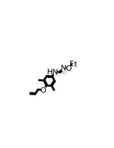 C=CCOc1c(C)cc(N/C=N/OCC)cc1C